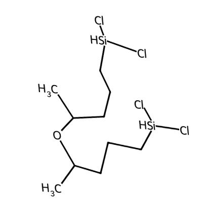 CC(CCC[SiH](Cl)Cl)OC(C)CCC[SiH](Cl)Cl